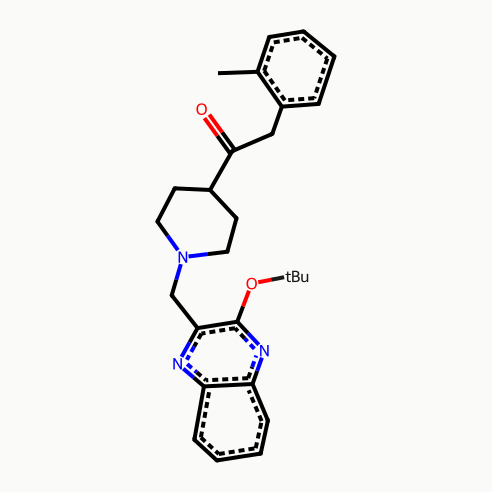 Cc1ccccc1CC(=O)C1CCN(Cc2nc3ccccc3nc2OC(C)(C)C)CC1